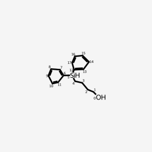 OCCCC[SiH](c1ccccc1)c1ccccc1